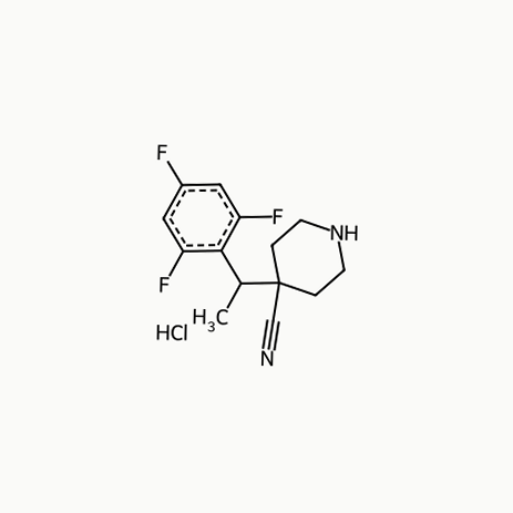 CC(c1c(F)cc(F)cc1F)C1(C#N)CCNCC1.Cl